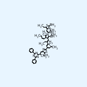 Bc1nc(/C=C(\BC)n2c(C)c(/C=C\C=C)c(/C=C(C=C)/C(C)=C/C(=C\C=C)c3n/c(=C/C(=C)c4nc(-c5ccccc5)nc(-c5ccccc5)n4)c(=C)s3)c2BC)c(C=C)s1